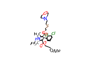 COCCOC(=O)C1=C(C)NC(C)=C(C(=O)OCCSCCN2CCOCC2)C1c1cccc(Cl)c1Cl